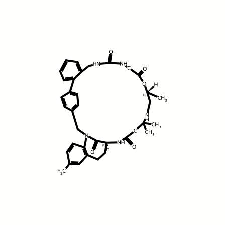 C[C@@H]1CNC(C)(C)CC(=O)N[C@@H]2CCc3cc(C(F)(F)F)ccc3N(Cc3ccc(cc3)-c3ccccc3CNC(=O)NCC(=O)O1)C2=O